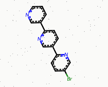 Brc1ccc(-c2ccc(-c3cccnc3)nc2)nc1